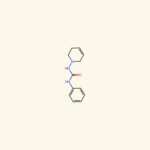 O=C(Nc1ccccc1)NN1CC=CCC1